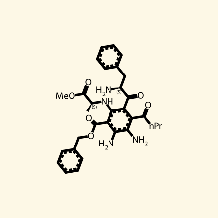 CCCC(=O)c1c(N)c(N)c(C(=O)OCc2ccccc2)c(N[C@@H](C)C(=O)OC)c1C(=O)[C@@H](N)Cc1ccccc1